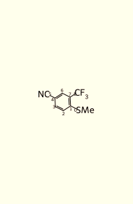 CSc1ccc(C#N)cc1C(F)(F)F